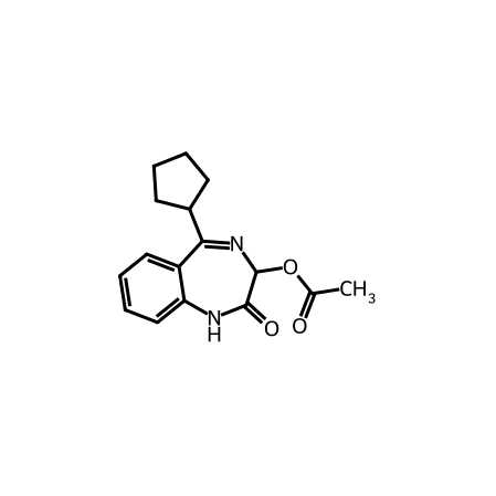 CC(=O)OC1N=C(C2CCCC2)c2ccccc2NC1=O